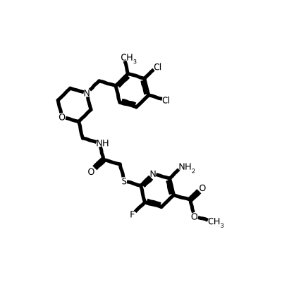 COC(=O)c1cc(F)c(SCC(=O)NCC2CN(Cc3ccc(Cl)c(Cl)c3C)CCO2)nc1N